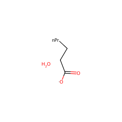 CCCCCC([O])=O.O